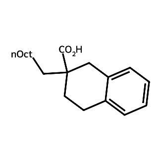 CCCCCCCCCC1(C(=O)O)CCc2ccccc2C1